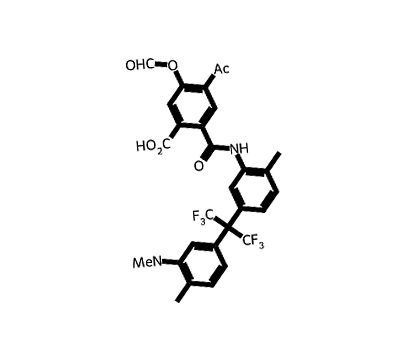 CNc1cc(C(c2ccc(C)c(NC(=O)c3cc(C(C)=O)c(OC=O)cc3C(=O)O)c2)(C(F)(F)F)C(F)(F)F)ccc1C